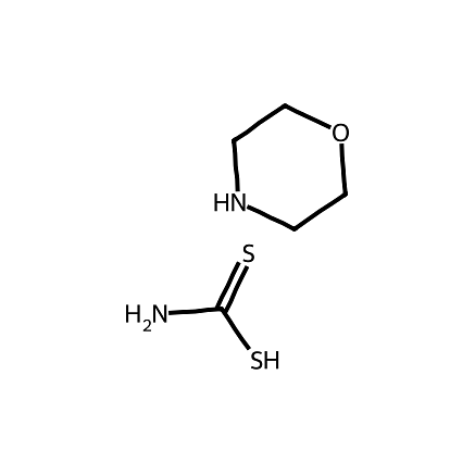 C1COCCN1.NC(=S)S